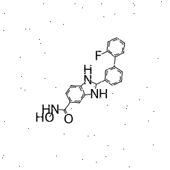 O=C(NO)c1ccc2c(c1)NC(c1cccc(-c3ccccc3F)c1)N2